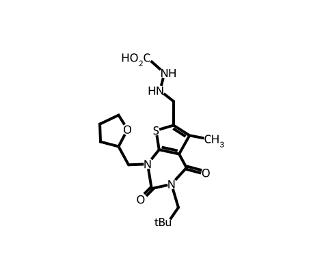 Cc1c(CNNC(=O)O)sc2c1c(=O)n(CC(C)(C)C)c(=O)n2CC1CCCO1